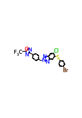 FC(F)(F)c1nc(-c2ccc(Cn3nc4cc(Cl)c(Sc5ccc(Br)cc5)cc4n3)cc2)no1